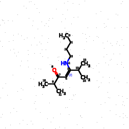 CCCCN/C(=C\C(=O)C(C)C)C(C)C